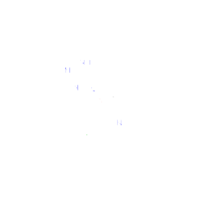 Cc1nc(C(C)c2cc(Cl)c(F)c(C(=O)N3CCC(F)(F)CC3)c2OC(C)C)n2ccnc(N)c12